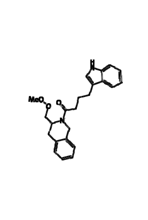 COOCC1Cc2ccccc2CN1C(=O)CCCc1c[nH]c2ccccc12